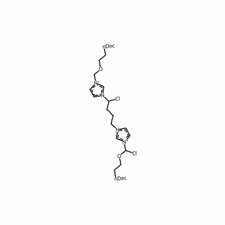 CCCCCCCCCCCCOC[n+]1ccn(C(Cl)CCCn2cc[n+](C(Cl)OCCCCCCCCCCCC)c2)c1